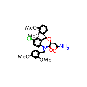 COc1ccc(CN2C(=O)[C@@H](CC(N)=O)O[C@H](c3cccc(OC)c3OC)c3cc(Cl)ccc32)c(OC)c1